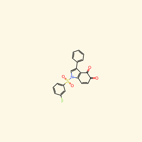 O=C1C=Cc2c(c(-c3ccccc3)cn2S(=O)(=O)c2cccc(F)c2)C1=O